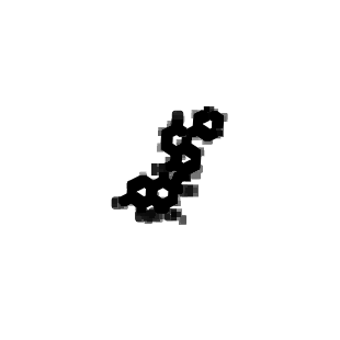 COc1c(Cl)ccc2c1C(C)(C)CC(O)(CF)C2Nc1cccc2c1ccc(=O)n2-c1cncnc1